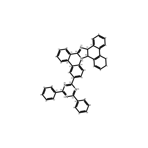 C1=CC2=C(CC1)c1ccccc1C1N=C3c4ccccc4-c4cc(-c5nc(-c6ccccc6)nc(-c6ccccc6)n5)ccc4N3C21